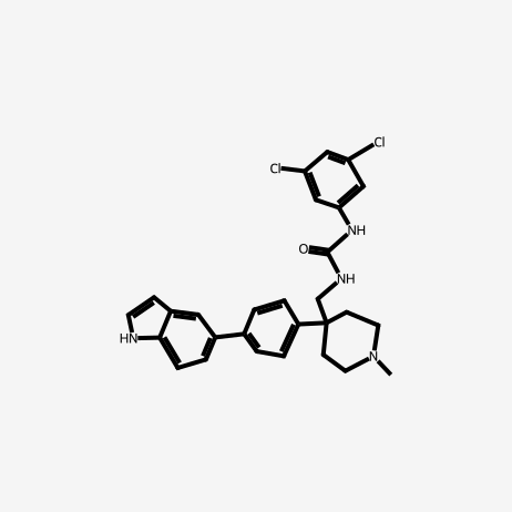 CN1CCC(CNC(=O)Nc2cc(Cl)cc(Cl)c2)(c2ccc(-c3ccc4[nH]ccc4c3)cc2)CC1